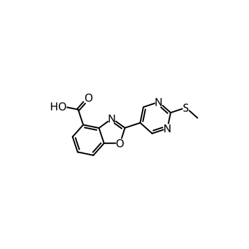 CSc1ncc(-c2nc3c(C(=O)O)cccc3o2)cn1